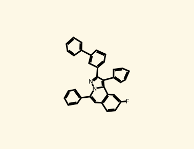 Fc1ccc2cc(-c3ccccc3)n3nc(-c4cccc(-c5ccccc5)c4)c(-c4ccccc4)c3c2c1